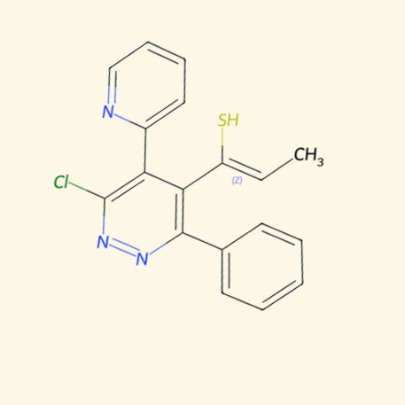 C/C=C(\S)c1c(-c2ccccc2)nnc(Cl)c1-c1ccccn1